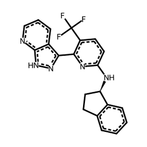 FC(F)(F)c1ccc(N[C@@H]2CCc3ccccc32)nc1-c1n[nH]c2ncccc12